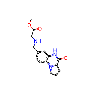 COC(=O)CNCc1ccc2c(c1)[nH]c(=O)c1cccn12